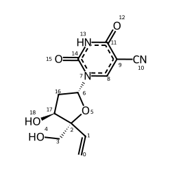 C=C[C@]1(CO)O[C@@H](n2cc(C#N)c(=O)[nH]c2=O)C[C@@H]1O